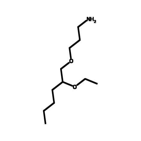 CCCCC(COCCCN)OCC